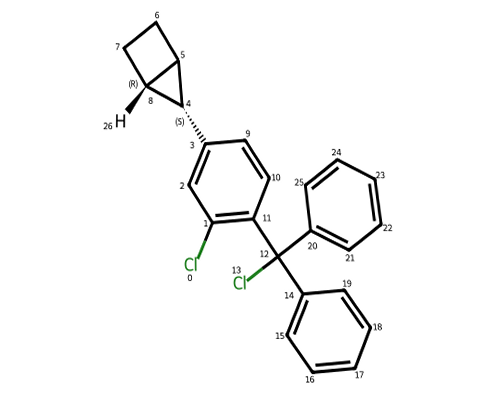 Clc1cc([C@H]2C3CC[C@H]32)ccc1C(Cl)(c1ccccc1)c1ccccc1